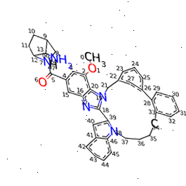 COc1cc(C(=O)N2CC3CCC2[C@@H]3N)cc2nc3n(c12)Cc1cccc(c1)-c1ccccc1CCCCn1c-3cc2ccccc21